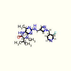 Cc1nc(NCc2cnn(Cc3ccncc3F)c2)nc2c1NC(=O)C(C(C)C)N2C